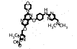 CN(C)Cc1cnc(NC2CCC(Oc3nc(N4CCOCC4)cc4ncc(OCc5cnc([N+](=O)[O-])n5C)cc34)CC2)nc1